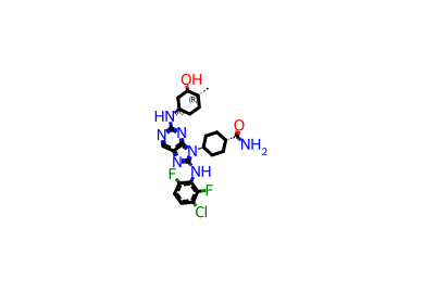 C[C@@H]1CC[C@@H](Nc2ncc3nc(Nc4c(F)ccc(Cl)c4F)n([C@H]4CC[C@@H](C(N)=O)CC4)c3n2)CC1O